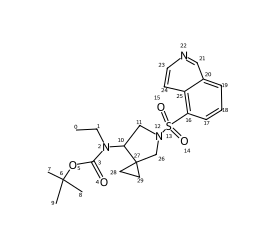 CCN(C(=O)OC(C)(C)C)C1CN(S(=O)(=O)c2cccc3cnccc23)CC12CC2